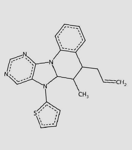 C=CCC1c2ccccc2N2c3ncncc3N(c3cccs3)C2C1C